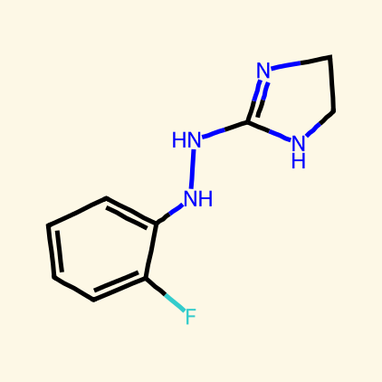 Fc1ccccc1NNC1=NCCN1